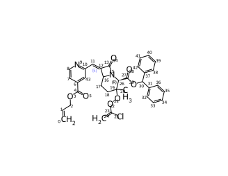 C=CCOC(=O)c1ccnc(/C=C2/C(=O)N3C2CCC(C)(OOC(=C)Cl)[C@@H]3C(=O)OC(c2ccccc2)c2ccccc2)c1